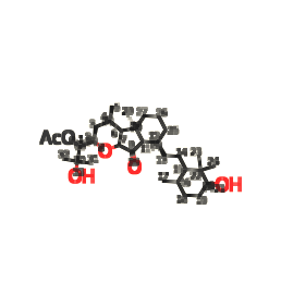 CC(=O)O[C@@H]([C@H]1C[C@@H](C)C2C(O1)C(=O)C1[C@H](CCC3C(C)CC[C@H](O)C3(C)C)CCC[C@@]12C)C(C)(C)O